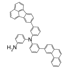 Nc1cccc(N(c2cccc(-c3ccc4c(c3)-c3cccc5cccc-4c35)c2)c2cccc(-c3ccc4ccc5ccccc5c4c3)c2)c1